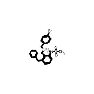 CS(=O)(=O)Nc1cccc(Cc2ccccc2)c1CNCc1ccc(Br)cc1